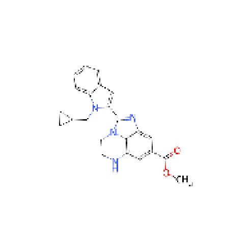 COC(=O)c1cc2c3c(c1)nc(-c1cc4ccccc4n1CC1CC1)n3CCN2